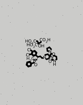 CN(C[C@@H](CCN1CCC(C(=O)N2CCCC2)(N2CCCNC2=O)CC1)c1ccc(Cl)c(Cl)c1)C(=O)c1ccccc1.O=C(O)CC(O)(CC(=O)O)C(=O)O